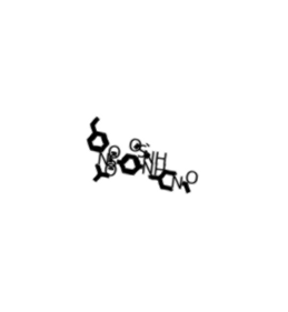 CCc1ccc(N(CC(C)C)S(=O)(=O)c2ccc(NCC3CCN(C(C)=O)CC3)c(S(C)(=N)=O)c2)cc1